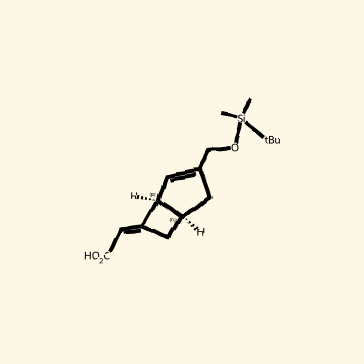 CC(C)(C)[Si](C)(C)OCC1=C[C@@H]2C(=CC(=O)O)C[C@@H]2C1